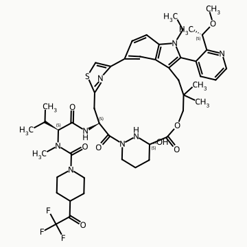 CCn1c(-c2cccnc2[C@H](C)OC)c2c3cc(ccc31)-c1csc(n1)C[C@H](NC(=O)[C@H](C(C)C)N(C)C(=O)N1CCC(C(=O)C(F)(F)F)CC1)C(=O)N1CCC[C@@](O)(N1)C(=O)OCC(C)(C)C2